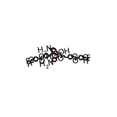 Nc1ccc(CC(Cc2ccc(N)cc2)(C(O)C(=O)/C=C/c2ccc(OC(=O)c3ccc(OC(F)(F)F)cc3)cc2)C(O)C(=O)/C=C/c2ccc(OC(=O)c3ccc(OC(F)(F)F)cc3)cc2)cc1